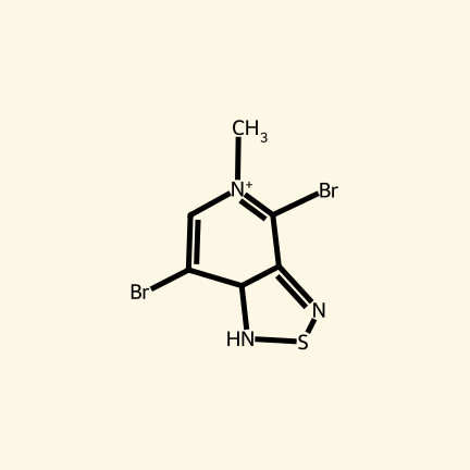 C[N+]1=C(Br)C2=NSNC2C(Br)=C1